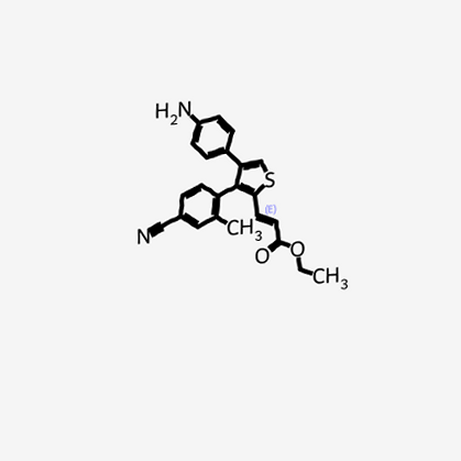 CCOC(=O)/C=C/c1scc(-c2ccc(N)cc2)c1-c1ccc(C#N)cc1C